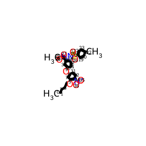 CCCCCOc1cc(Oc2ccc(NS(=O)(=O)c3ccc(C)cc3)c(C(=O)OC)c2)ccc1[N+](=O)[O-]